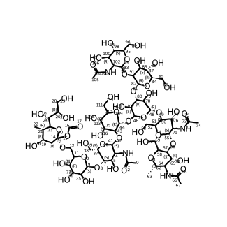 CC(=O)NC1C(O)[C@H](O[C@@H]2OC(CO[C@]3(OC=O)C[C@@H](O)[C@@H](C)C([C@H](O)[C@H](O)CO)O3)[C@H](O)[C@H](O)C2O)[C@H](CO)O[C@H]1OC1[C@@H](OC2O[C@@H](O[C@@H]3C(CO)O[C@@H](O[C@@H]4C(CO)O[C@@H](C)C(NC(C)=O)[C@H]4O)C(NC(C)=O)[C@H]3O)C(O)[C@@H](O[C@H]3O[C@H](CO)[C@@H](O)C(O)C3O[C@@H]3OC(CO)[C@@H](O)[C@H](O)C3NC(C)=O)[C@@H]2O)OC(CO)[C@@H](O)[C@@H]1O